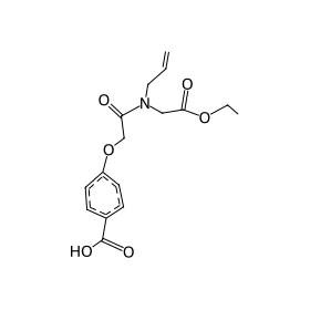 C=CCN(CC(=O)OCC)C(=O)COc1ccc(C(=O)O)cc1